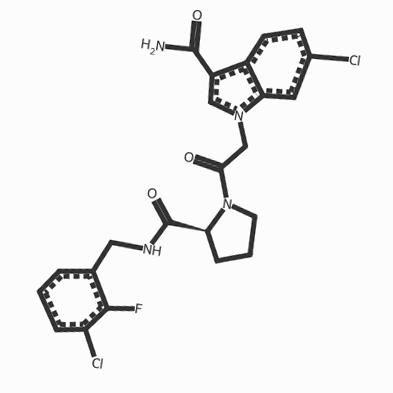 NC(=O)c1cn(CC(=O)N2CCC[C@H]2C(=O)NCc2cccc(Cl)c2F)c2cc(Cl)ccc12